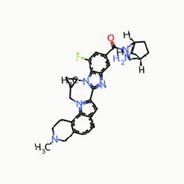 CN1CCc2c(ccc3cc(-c4nc5cc(C(=O)N6C[C@H]7CC[C@@H]6[C@@H]7N)cc(F)c5n4C)n(CC4CC4)c23)C1